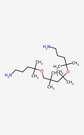 CC(C)(COC(C)(C)CCCN)CC(C)(C)OC(C)(C)CCCN